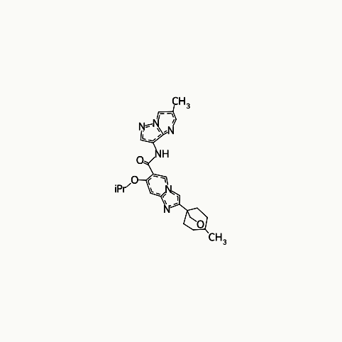 Cc1cnc2c(NC(=O)c3cn4cc(C56CCC(C)(CC5)OC6)nc4cc3OC(C)C)cnn2c1